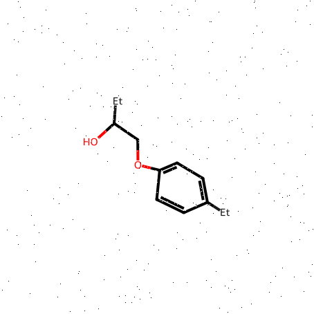 CCc1ccc(OCC(O)CC)cc1